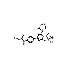 CCNC(=O)Nc1ccc(-c2nc3c(c(N4CCOCC4CC)n2)C(C)S(O)(O)C3)cc1